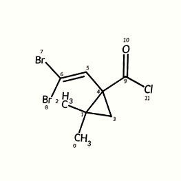 CC1(C)CC1(C=C(Br)Br)C(=O)Cl